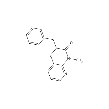 CN1C(=O)C(Cc2ccccc2)Sc2cccnc21